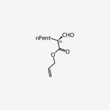 C=CCOC(=O)[C@H](C=O)CCCCC